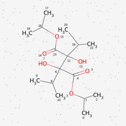 CC(C)OC(=O)C(O)(C(C)C)C(O)(C(=O)OC(C)C)C(C)C